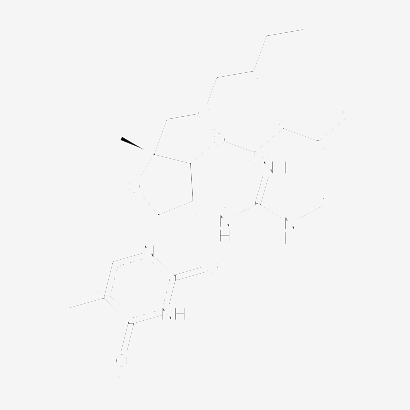 CCCCOC[C@@]1(C)O[C@@H](n2cc(C)c(=O)[nH]c2=O)[C@@H](NC(=N)NC)C1OCCCC